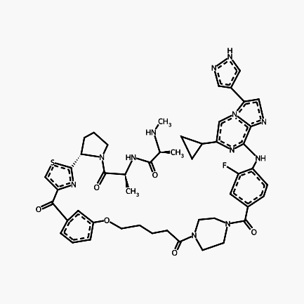 CN[C@@H](C)C(=O)N[C@@H](C)C(=O)N1CCC[C@H]1c1nc(C(=O)c2cccc(OCCCCC(=O)N3CCN(C(=O)c4ccc(Nc5nc(C6CC6)cn6c(-c7cn[nH]c7)cnc56)c(F)c4)CC3)c2)cs1